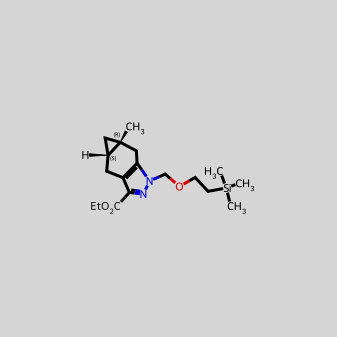 CCOC(=O)c1nn(COCC[Si](C)(C)C)c2c1C[C@@H]1C[C@]1(C)C2